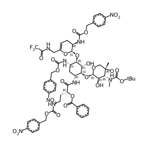 CN(C(=O)OC(C)(C)C)[C@@H]1[C@@H](O)[C@@H](O[C@@H]2[C@@H](O)[C@H](O[C@H]3OC(CNC(=O)C(F)(F)F)=CC[C@H]3NC(=O)OCc3ccc([N+](=O)[O-])cc3)[C@@H](NC(=O)OCc3ccc([N+](=O)[O-])cc3)C[C@H]2NC(=O)[C@@H](CCNC(=O)OCc2ccc([N+](=O)[O-])cc2)OC(=O)c2ccccc2)OC[C@]1(C)O